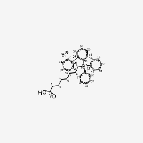 O=C(O)CCCCCCC[P+](c1ccccc1)(c1ccccc1)c1ccccc1-c1ccccc1.[Br-]